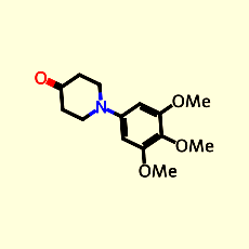 COc1cc(N2CCC(=O)CC2)cc(OC)c1OC